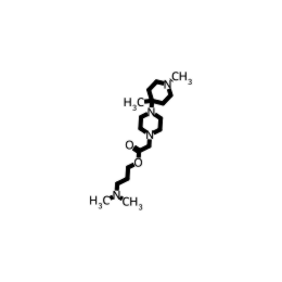 CN(C)CCCOC(=O)CN1CCN(C2(C)CCN(C)CC2)CC1